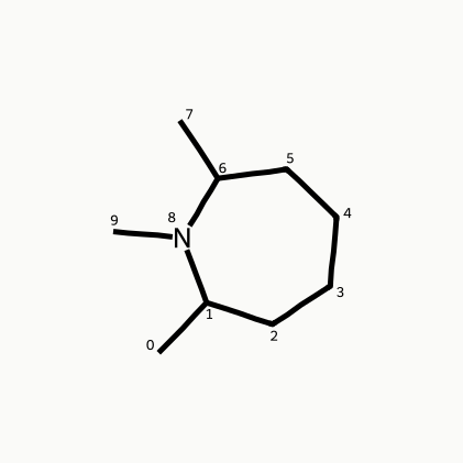 CC1CCCCC(C)N1C